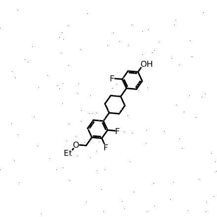 CCOCc1ccc(C2CCC(c3ccc(O)cc3F)CC2)c(F)c1F